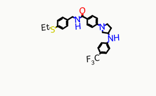 CCSc1ccc(CNC(=O)c2ccc(N3CCC(Nc4ccc(C(F)(F)F)cc4)C3)cc2)cc1